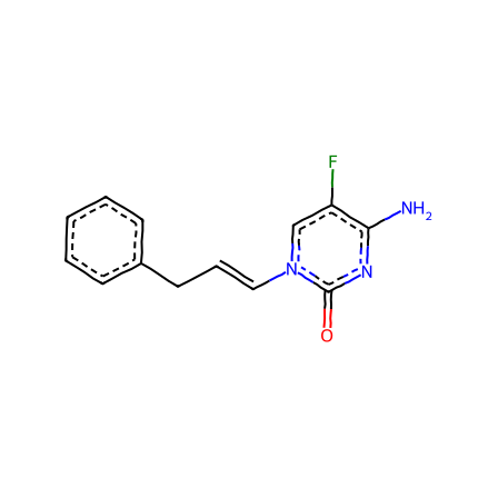 Nc1nc(=O)n(/C=C/Cc2ccccc2)cc1F